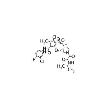 C[C@@H](NC(=O)C(=O)N1CC[C@@]2(COc3c(c(Cl)n(C)c3C(=O)Nc3ccc(F)c(Cl)c3)S(=O)(=O)N2)C1)C(F)(F)F